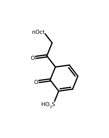 CCCCCCCCCC(=O)C1C=CC=C(S(=O)(=O)O)C1=O